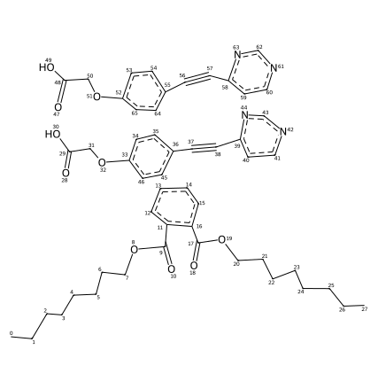 CCCCCCCCOC(=O)c1ccccc1C(=O)OCCCCCCCC.O=C(O)COc1ccc(C#Cc2ccncn2)cc1.O=C(O)COc1ccc(C#Cc2ccncn2)cc1